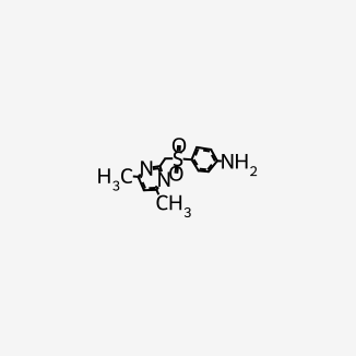 Cc1cc(C)nc(CS(=O)(=O)c2ccc(N)cc2)n1